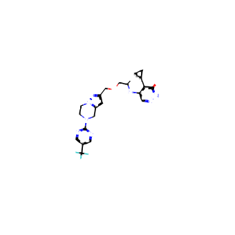 CC(COCc1cc2n(n1)CCN(c1ncc(C(F)(F)F)cn1)C2)Nc1cn[nH]c(=O)c1C1CC1